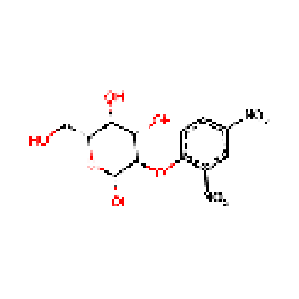 O=[N+]([O-])c1ccc(O[C@@H]2[C@@H](O)[C@@H](O)[C@@H](CO)O[C@H]2O)c([N+](=O)[O-])c1